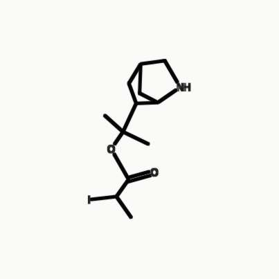 CC(I)C(=O)OC(C)(C)C1CC2CNC1C2